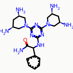 NC(=O)C(Nc1nc(N2C[C@H](N)C[C@H](N)C2)nc(N2C[C@H](N)C[C@H](N)C2)n1)c1ccccc1